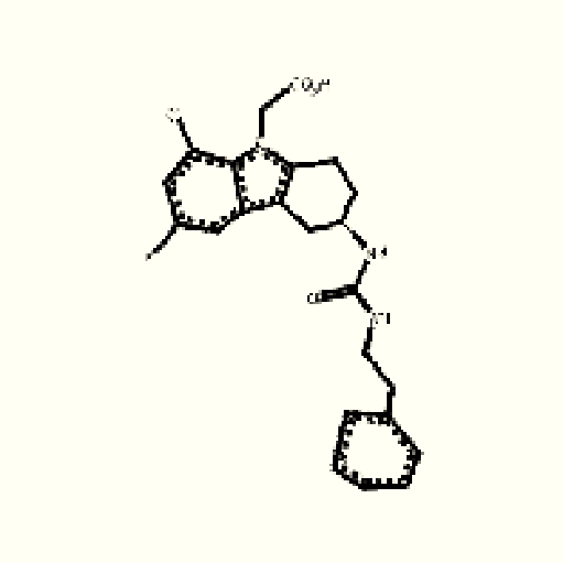 O=C(O)Cn1c2c(c3cc(F)cc(Cl)c31)C[C@H](NC(=O)NCCc1ccccc1)CC2